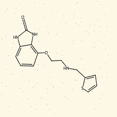 O=c1[nH]c2cccc(OCCNCc3cccs3)c2[nH]1